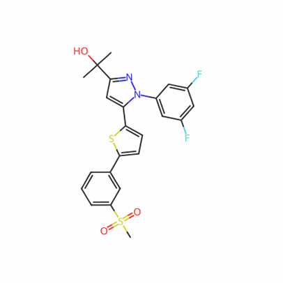 CC(C)(O)c1cc(-c2ccc(-c3cccc(S(C)(=O)=O)c3)s2)n(-c2cc(F)cc(F)c2)n1